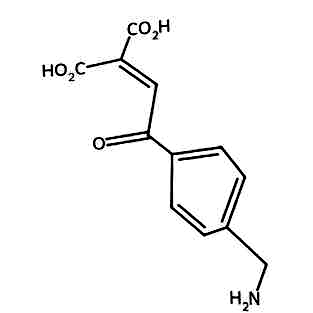 NCc1ccc(C(=O)C=C(C(=O)O)C(=O)O)cc1